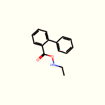 CCNOC(=O)c1ccccc1-c1ccccc1